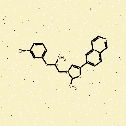 NC1SC(c2ccc3cnccc3c2)=CN1C[C@H](N)Cc1cccc(Cl)c1